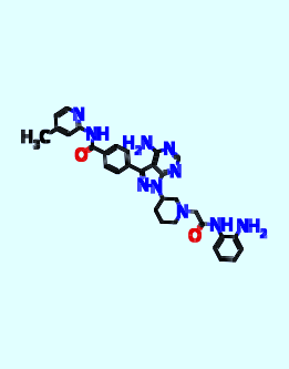 Cc1ccnc(NC(=O)c2ccc(-c3nn(C4CCCN(CC(=O)Nc5ccccc5N)C4)c4ncnc(N)c34)cc2)c1